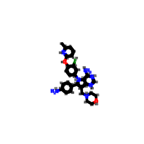 Cc1cccc(Oc2ccc(-n3c(-c4ccc(N)cc4)c(CN4CCOCC4)c4ncnc(N)c43)cc2F)n1